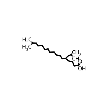 CC(C)CCCCCCCCCCC(CCCC(=O)O)CC(C)C